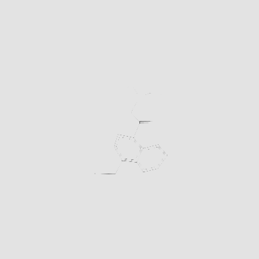 C[S+](C)CC(=O)c1ccc(CO)c2ccccc12